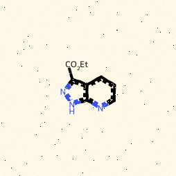 CCOC(=O)c1n[nH]c2ncccc12